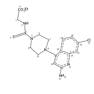 CCOC(=O)CNC(=S)N1CCN(c2cc(N)nc3cc(Cl)ccc23)CC1